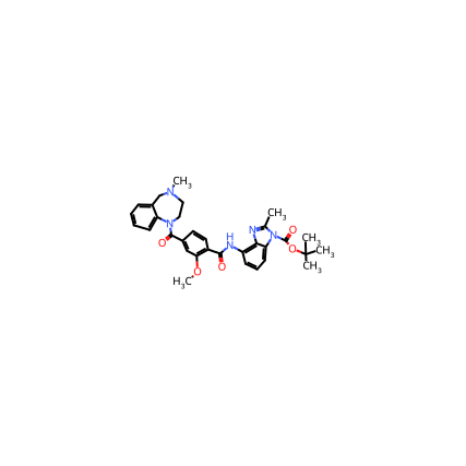 COc1cc(C(=O)N2CCN(C)Cc3ccccc32)ccc1C(=O)Nc1cccc2c1nc(C)n2C(=O)OC(C)(C)C